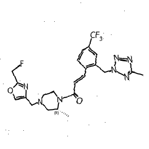 Cc1nnn(Cc2cc(C(F)(F)F)ccc2C=CC(=O)N2CCN(Cc3coc(CF)n3)C[C@H]2C)n1